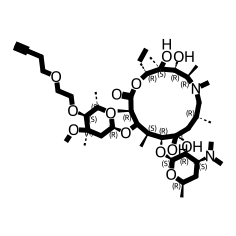 C#CCCOCCO[C@H]1[C@H](C)O[C@@H](OC2[C@@H](C)C(=O)O[C@H](CC)[C@@](C)(O)[C@H](O)[C@@H](C)N(C)C[C@H](C)C[C@@](C)(O)[C@H](O[C@@H]3O[C@H](C)C[C@H](N(C)C)[C@H]3O)[C@H]2C)C[C@@]1(C)OC